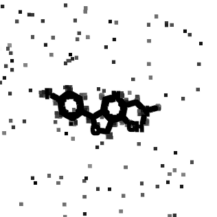 CN(C)Cc1ncc2c(c1O)COC2c1ccc(F)cc1